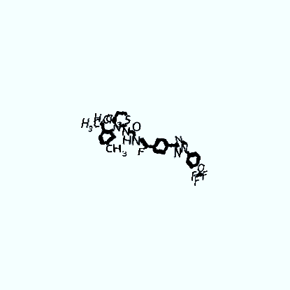 Cc1ccc(C(C)C)c(N2/C(=N/C(=O)N/C=C(\F)c3ccc(-c4ncn(-c5ccc(OC(F)(F)F)cc5)n4)cc3)SCCC2C)c1